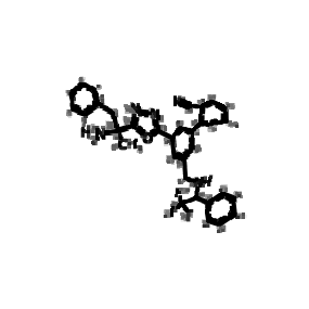 C[C@@](N)(Cc1ccccc1)c1nnc(-c2cc(CNC(c3ccccc3)C(F)(F)F)cc(-c3ccccc3C#N)c2)o1